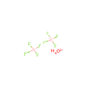 F[B-](F)(F)F.F[B-](F)(F)F.[OH4+2]